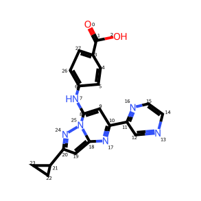 O=C(O)c1ccc(Nc2cc(-c3cnccn3)nc3cc(C4CC4)nn23)cc1